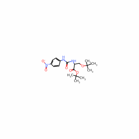 CC(C)(C)OCC(NC(=O)Nc1ccc([N+](=O)[O-])cc1)C(=O)OC(C)(C)C